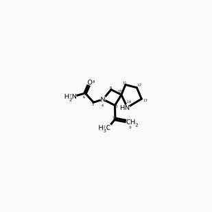 C=C(C)C1N(CC(N)=O)CC12CCCN2